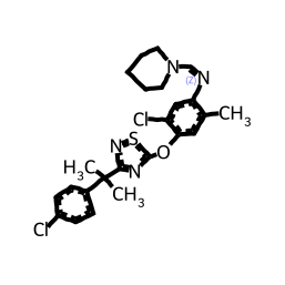 Cc1cc(Oc2nc(C(C)(C)c3ccc(Cl)cc3)ns2)c(Cl)cc1/N=C\N1CCCCC1